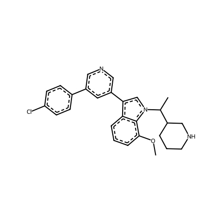 COc1cccc2c(-c3cncc(-c4ccc(Cl)cc4)c3)cn(C(C)C3CCCNC3)c12